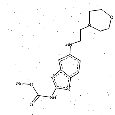 CC(C)(C)OC(=O)Nc1nc2ccc(NCCN3CCOCC3)cc2s1